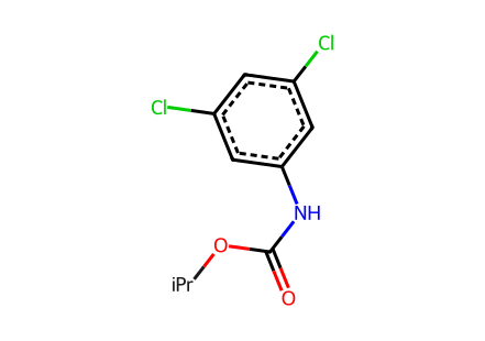 CC(C)OC(=O)Nc1cc(Cl)cc(Cl)c1